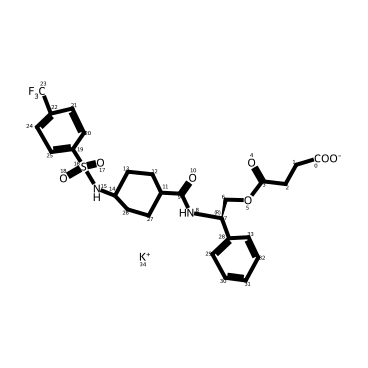 O=C([O-])CCC(=O)OC[C@H](NC(=O)C1CCC(NS(=O)(=O)c2ccc(C(F)(F)F)cc2)CC1)c1ccccc1.[K+]